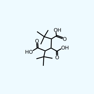 CC(C)(C)C(C(=O)O)C(C(=O)O)C(C(=O)O)C(C)(C)C